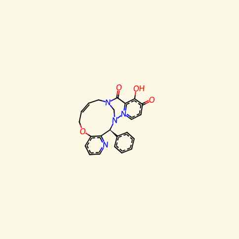 O=C1c2c(O)c(=O)ccn2N2CN1C/C=C\COc1cccnc1[C@@H]2c1ccccc1